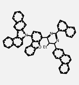 CCC1C(c2ccc(-n3c4cc5ccccc5cc4c4c5ccccc5ccc43)c3c2oc2ccccc23)=NC(c2cccc3ccccc23)=NC1c1ccc2c(ccc3ccccc32)c1